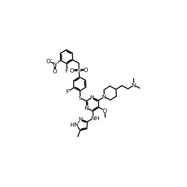 COc1c(Nc2cc(C)[nH]n2)nc(Sc2ccc(S(=O)(=O)Cc3cccc([N+](=O)[O-])c3F)cc2F)nc1N1CCC(CCN(C)C)CC1